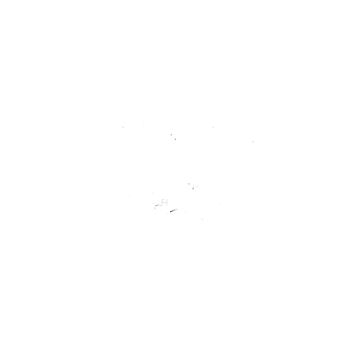 COC(=O)[C@@H]1CCCN1c1c(-c2ccccc2)nc2ccccc2c1C(=O)O.Cl